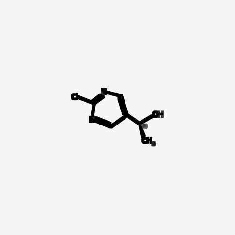 C[C@H](O)c1cnc(Cl)nc1